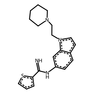 N=C(Nc1ccc2ccn(CCN3CCCCC3)c2c1)c1cccs1